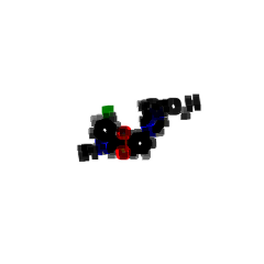 CC(C)n1cc(S(=O)(=O)c2cccc(N3CCN(C(=O)O)C(C(C)(C)C)C3)c2)c2cc(F)ccc21